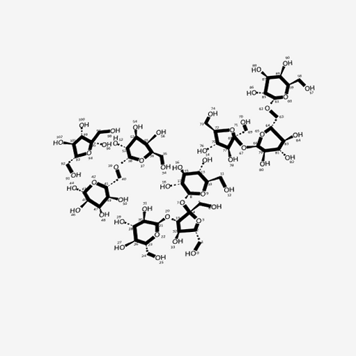 OC[C@H]1O[C@@](CO)(O[C@H]2O[C@H](CO)[C@@H](O)[C@H](O)[C@H]2O)[C@@H](O[C@H]2O[C@H](CO)[C@@H](O)[C@H](O)[C@H]2O)[C@@H]1O.OC[C@H]1O[C@H](OC[C@H]2O[C@@H](O)[C@H](O)[C@@H](O)[C@@H]2O)[C@H](O)[C@@H](O)[C@H]1O.OC[C@H]1O[C@H](OC[C@H]2O[C@H](O[C@]3(CO)O[C@H](CO)[C@@H](O)[C@@H]3O)[C@H](O)[C@@H](O)[C@@H]2O)[C@H](O)[C@@H](O)[C@H]1O.OC[C@H]1O[C@](O)(CO)[C@@H](O)[C@@H]1O